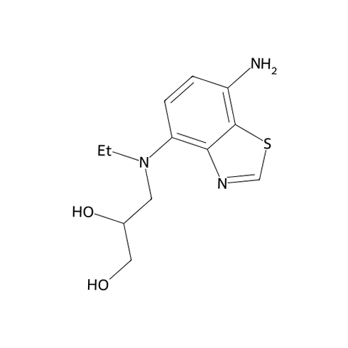 CCN(CC(O)CO)c1ccc(N)c2scnc12